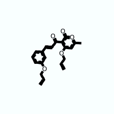 C=CCOc1cccc(C=CC(=O)c2c(OCC=C)cc(C)oc2=O)c1